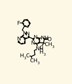 CC(C)CCNc1nc(-c2nn(Cc3ccccc3F)c3ncccc23)nc2c1C(C)(C)C(=O)N2